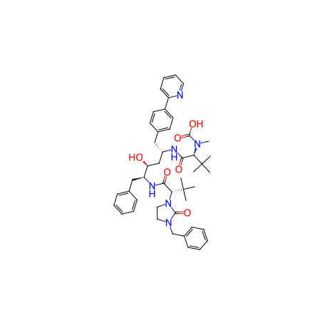 CN(C(=O)O)[C@H](C(=O)N[C@@H](Cc1ccc(-c2ccccn2)cc1)C[C@H](O)[C@H](Cc1ccccc1)NC(=O)[C@@H](N1CCN(Cc2ccccc2)C1=O)C(C)(C)C)C(C)(C)C